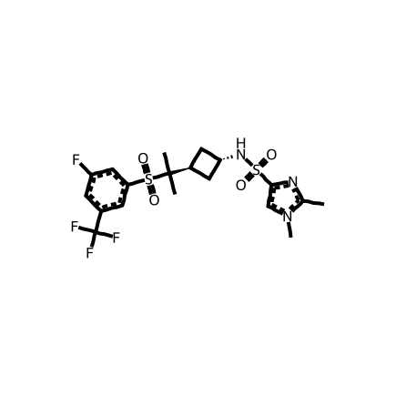 Cc1nc(S(=O)(=O)N[C@H]2C[C@H](C(C)(C)S(=O)(=O)c3cc(F)cc(C(F)(F)F)c3)C2)cn1C